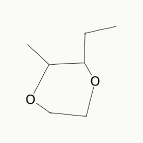 CCC1OCCOC1C